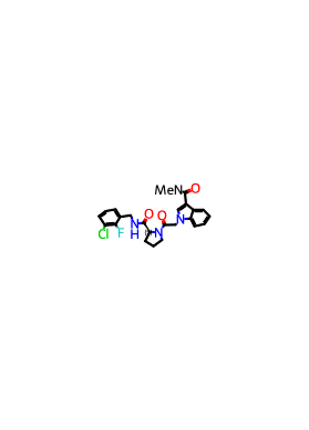 CNC(=O)c1cn(CC(=O)N2CCC[C@H]2C(=O)NCc2cccc(Cl)c2F)c2ccccc12